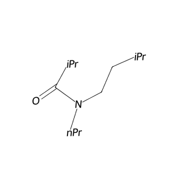 CCCN(CCC(C)C)C(=O)C(C)C